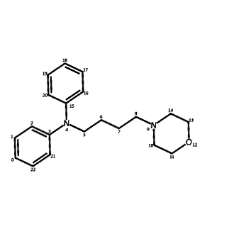 c1ccc(N(CCCCN2CCOCC2)c2ccccc2)cc1